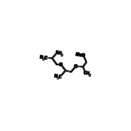 COCC(C)OCC(C)OCC(C)N